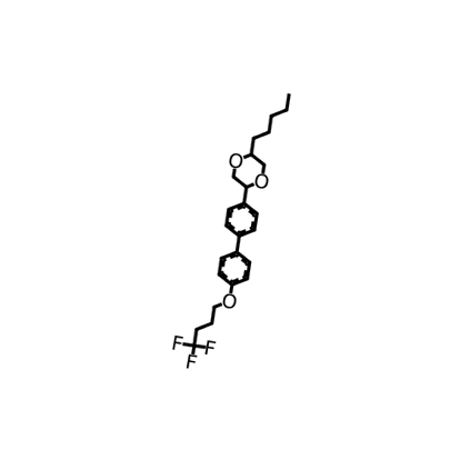 CCCCCC1COC(c2ccc(-c3ccc(OCCCC(F)(F)F)cc3)cc2)CO1